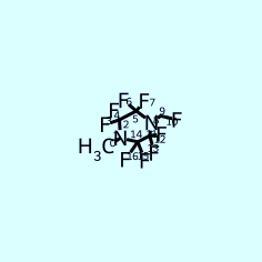 CN1C(F)(F)C(F)(F)N(CF)C(F)(F)C1(F)F